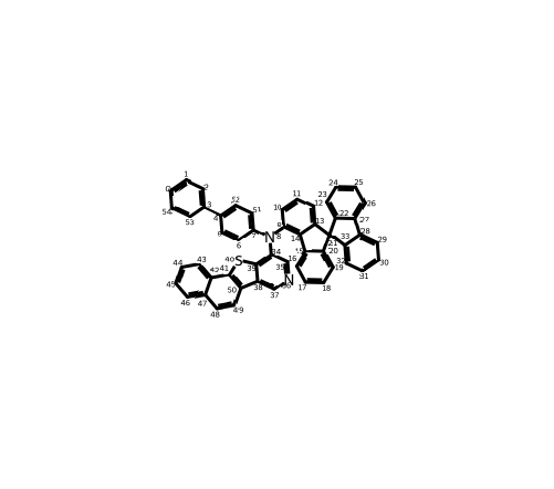 c1ccc(-c2ccc(N(c3cccc4c3-c3ccccc3C43c4ccccc4-c4ccccc43)c3cncc4c3sc3c5ccccc5ccc43)cc2)cc1